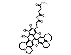 NC(=O)CCC(=O)OC(=O)CSc1c(Cl)c(Cl)c(C(=O)O)c(C2=c3cc4c5c(c3Oc3c2cc2c6c3CCCN6CCCC2)CCC[N+]=5CCCC4)c1Cl